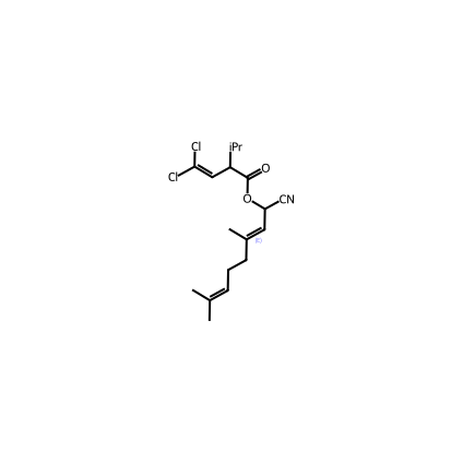 CC(C)=CCC/C(C)=C/C(C#N)OC(=O)C(C=C(Cl)Cl)C(C)C